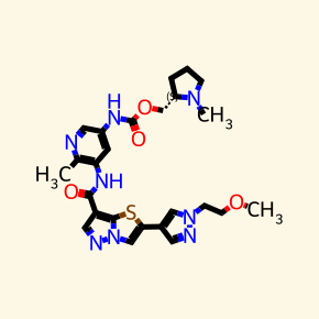 COCCn1cc(-c2cn3ncc(C(=O)Nc4cc(NC(=O)OC[C@@H]5CCCN5C)cnc4C)c3s2)cn1